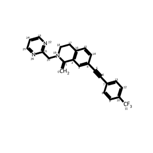 C=C1c2cc(C#Cc3ccc(C(F)(F)F)cc3)ccc2CCN1Cc1ncccn1